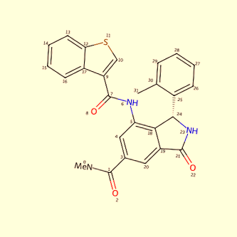 CNC(=O)c1cc(NC(=O)c2csc3ccccc23)c2c(c1)C(=O)N[C@H]2c1ccccc1C